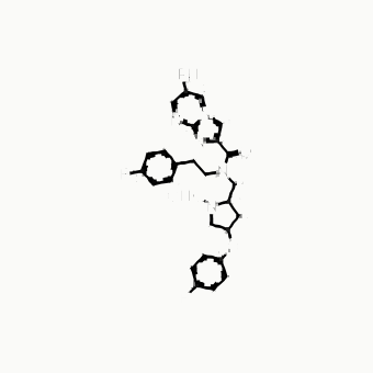 O=CN1CC(Oc2ccc(F)cc2)CC1CN(CCc1ccc(F)cc1)C(=O)c1cn2cc(P)cnc2n1